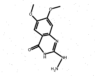 COc1cc2nc(NN)[nH]c(=O)c2cc1OC